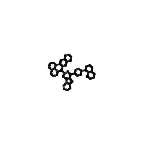 c1ccc2cc3c(cc2c1)-c1cccc2cccc(c12)N3c1nc(-c2ccc(-c3cccc4cccnc34)cc2)c2sc3ccccc3c2n1